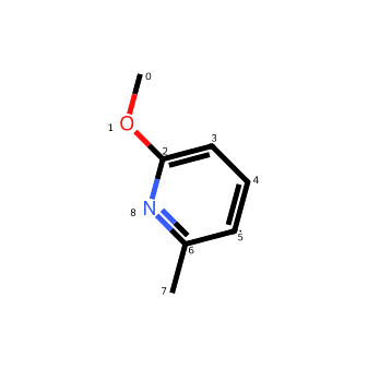 COc1cc[c]c(C)n1